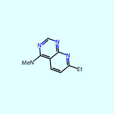 CCc1ccc2c(NC)ncnc2n1